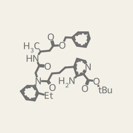 CCc1ccccc1N(CC(=O)N[C@H](C)CC(=O)OCc1ccccc1)C(=O)CCCc1ccnc(C(=O)OC(C)(C)C)c1N